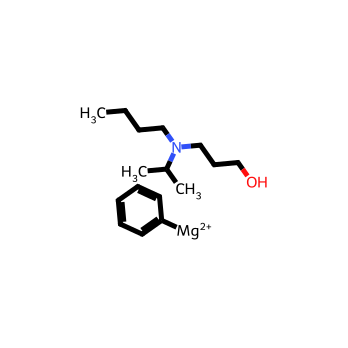 CCCCN(CCCO)C(C)C.[Mg+2][c]1ccccc1